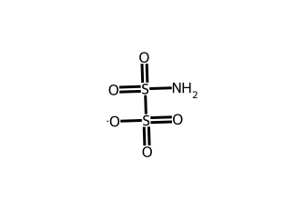 NS(=O)(=O)S([O])(=O)=O